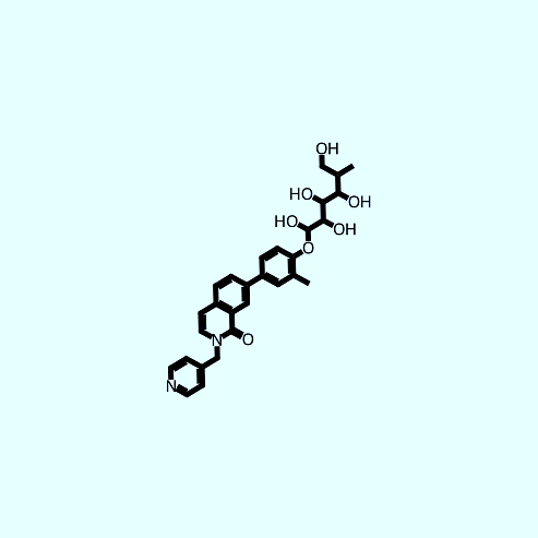 Cc1cc(-c2ccc3ccn(Cc4ccncc4)c(=O)c3c2)ccc1OC(O)C(O)C(O)C(O)C(C)CO